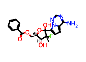 C[C@@]1(F)[C@H](O)[C@@H](COC(=O)c2ccccc2)OC1(O)c1ccc2c(N)ncnn12